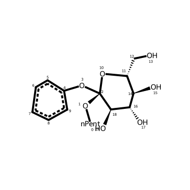 CCCCCO[C@@]1(Oc2ccccc2)O[C@H](CO)[C@@H](O)[C@H](O)[C@H]1O